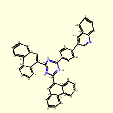 c1ccc2ncc(-c3ccc(-c4nc(-c5cc6ccccc6c6ccccc56)nc(-c5cc6ccccc6c6ccccc56)n4)cc3)cc2c1